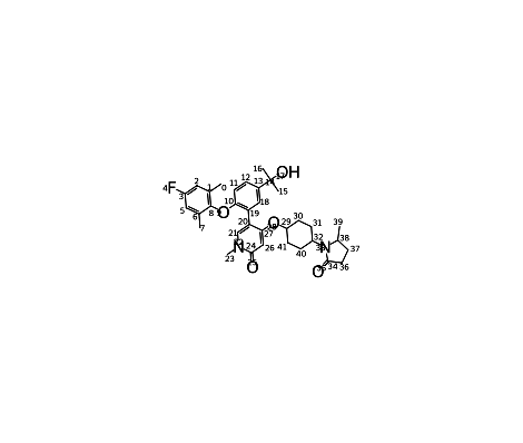 Cc1cc(F)cc(C)c1Oc1ccc(C(C)(C)O)cc1-c1cn(C)c(=O)cc1OC1CCC(N2C(=O)CCC2C)CC1